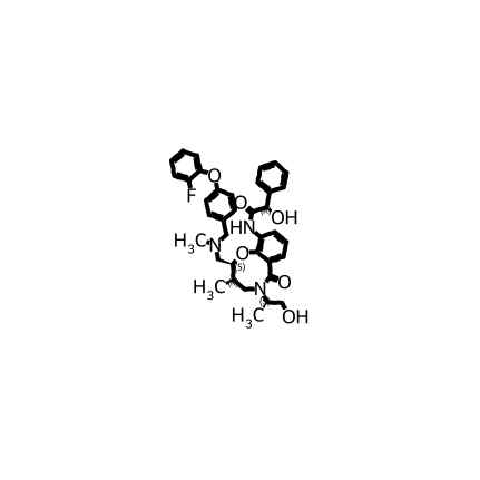 C[C@@H]1CN([C@@H](C)CO)C(=O)c2cccc(NC(=O)[C@H](O)c3ccccc3)c2O[C@@H]1CN(C)Cc1ccc(Oc2ccccc2F)cc1